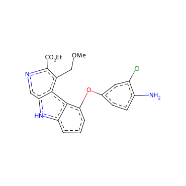 CCOC(=O)c1ncc2[nH]c3cccc(Oc4ccc(N)c(Cl)c4)c3c2c1COC